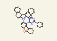 c1ccc(-c2nc(-c3ccccc3)nc(-c3c(-n4c5ccccc5c5c6ccccc6ccc54)ccc4oc5ccccc5c34)n2)cc1